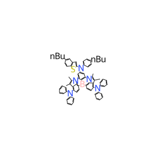 CCCCc1ccc(N(c2cc3c4c(c2)-n2c(C)c(C)c5c(N(c6ccccc6)c6ccccc6)ccc(c52)B4c2ccc(N(c4ccccc4)c4ccccc4)c4c(C)c(C)n-3c24)c2cc3cc(CCCC)ccc3s2)cc1